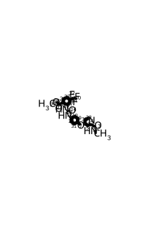 CNC(=O)c1cc(Oc2ccc(NC(=O)Nc3cc(C(F)(F)F)ccc3C(=O)OC)cc2)ccn1